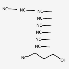 CC#N.CC#N.CC#N.CC#N.CC#N.CC#N.CC#N.CC#N.N#CCCCO